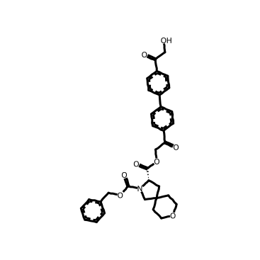 O=C(CO)c1ccc(-c2ccc(C(=O)COC(=O)[C@@H]3CC4(CCOCC4)CN3C(=O)OCc3ccccc3)cc2)cc1